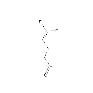 O=[C]CCC=C(F)F